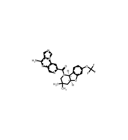 CC1(C)C[C@@H]2Oc3cc(OC(F)(F)F)ccc3[C@@H]2N(C(=O)c2cc3c(cn2)nc(N)c2cncn23)C1